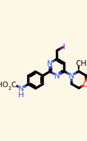 C[C@H]1COCCN1c1cc(CI)nc(-c2ccc(NC(=O)O)cc2)n1